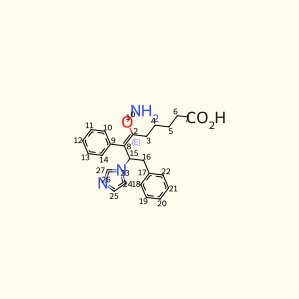 NO/C(CCCCC(=O)O)=C(\c1ccccc1)C(Cc1ccccc1)n1ccnc1